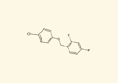 Fc1ccc(COc2[c]cc(Cl)cc2)c(F)c1